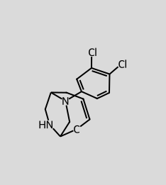 Clc1ccc(N2CC3CC=CCC2CN3)cc1Cl